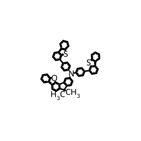 CC1(C)c2ccc(N(c3ccc(-c4cccc5c4sc4ccccc45)cc3)c3ccc(-c4cccc5c4sc4ccccc45)cc3)cc2-c2c1ccc1c2oc2ccccc21